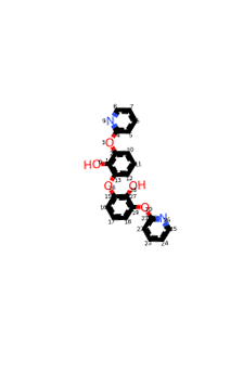 Oc1c(Oc2ccccn2)cccc1Oc1cccc(Oc2ccccn2)c1O